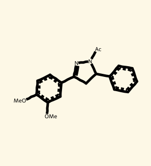 COc1ccc(C2=NN(C(C)=O)C(c3ccccc3)C2)cc1OC